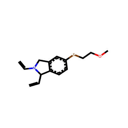 C=CC1c2ccc(SCCOC)cc2CN1C=C